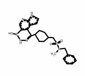 CN(Cc1ccccc1)S(=O)(=O)CC1CCC(C2=NNB(O)c3cnc4[nH]ccc4c32)CC1